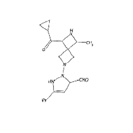 CC(C)C1=CC(C=O)N(N2CC3(C2)C(C)NC3C(=O)C2CC2)N1